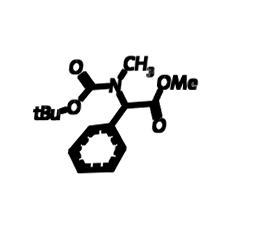 COC(=O)C(c1ccccc1)N(C)C(=O)OC(C)(C)C